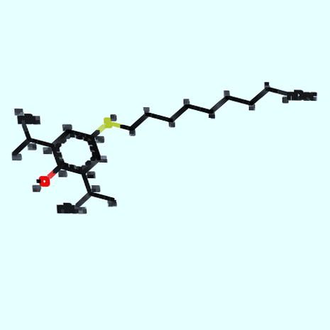 CCCCCCCCCCCCCCCCCCSc1cc(C(C)CCCC)c([O])c(C(C)CCCC)c1